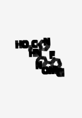 COc1ncc(Nc2ccncc2C(=O)O)cc1-c1cc(Cl)ccc1F